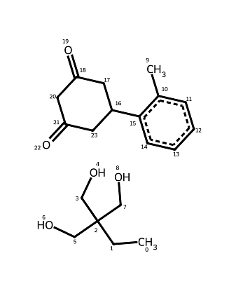 CCC(CO)(CO)CO.Cc1ccccc1C1CC(=O)CC(=O)C1